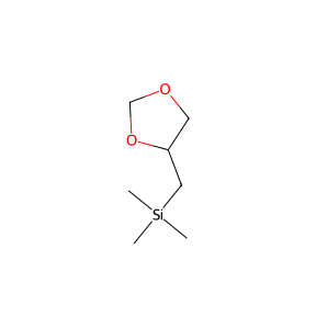 C[Si](C)(C)CC1COCO1